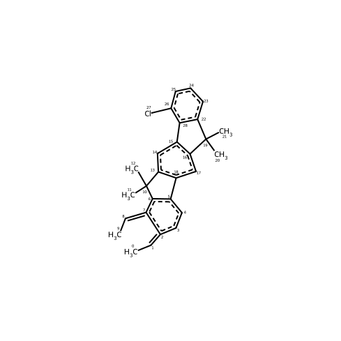 C/C=c1/ccc2c(/c1=C/C)C(C)(C)c1cc3c(cc1-2)C(C)(C)c1cccc(Cl)c1-3